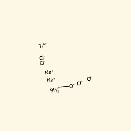 C[O-].[BH4-].[Cl-].[Cl-].[Cl-].[Cl-].[Na+].[Na+].[Ti+4]